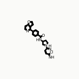 N=C(Cl)/C=C\C(=N)N1CCC(NC(=O)c2ccc(-c3nccc4occc34)cc2)C1